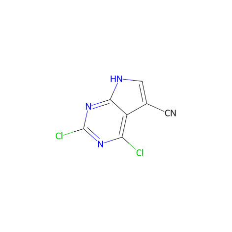 N#Cc1c[nH]c2nc(Cl)nc(Cl)c12